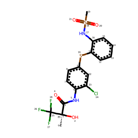 C[C@@](O)(C(=O)Nc1ccc(Sc2ccccc2NS(C)(=O)=O)cc1Cl)C(F)(F)F